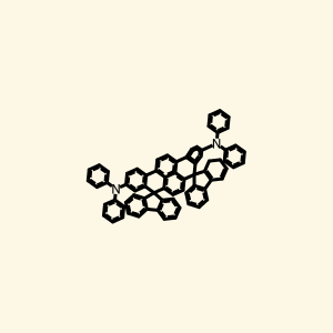 C1=CC2=C(CC1)C1(c3ccccc32)c2cc(N(c3ccccc3)c3ccccc3)ccc2-c2ccc3c4c(ccc1c24)C1(c2ccccc2-c2ccccc21)c1cc(N(c2ccccc2)c2ccccc2)ccc1-3